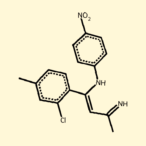 CC(=N)/C=C(\Nc1ccc([N+](=O)[O-])cc1)c1ccc(C)cc1Cl